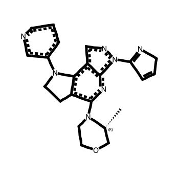 C[C@@H]1COCCN1c1nc2c(cnn2C2=NCC=C2)c2c1CCN2c1cccnc1